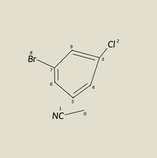 CC#N.Clc1cccc(Br)c1